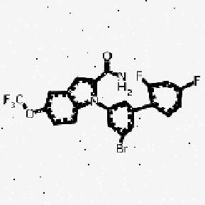 NC(=O)c1cc2cc(OC(F)(F)F)ccc2n1-c1cc(Br)cc(-c2ccc(F)cc2F)c1